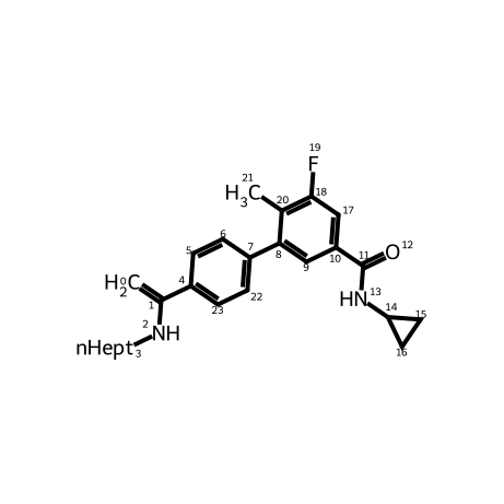 C=C(NCCCCCCC)c1ccc(-c2cc(C(=O)NC3CC3)cc(F)c2C)cc1